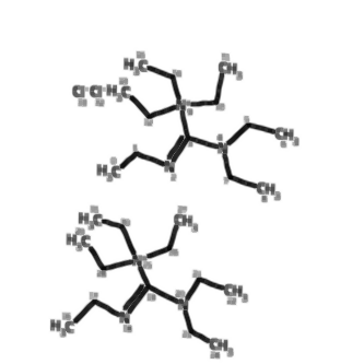 CCN=C(N(CC)CC)[N+](CC)(CC)CC.CCN=C(N(CC)CC)[N+](CC)(CC)CC.[Cl-].[Cl-]